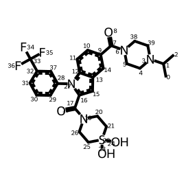 CC(C)N1CCN(C(=O)c2ccc3c(c2)cc(C(=O)N2CCS(O)(O)CC2)n3-c2cccc(C(F)(F)F)c2)CC1